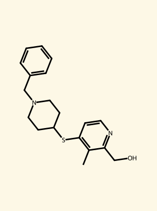 Cc1c(SC2CCN(Cc3ccccc3)CC2)ccnc1CO